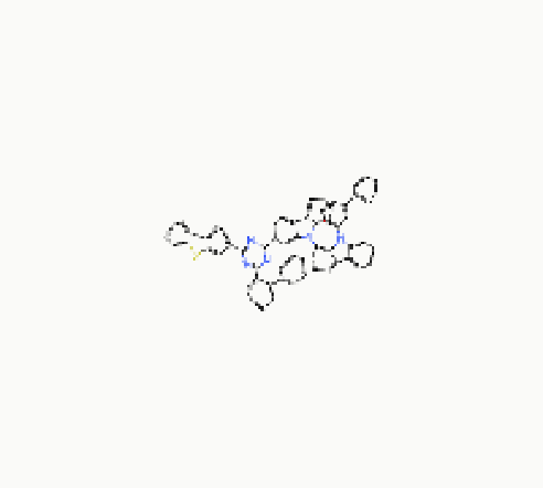 c1ccc(-c2cccc(-n3c4ccccc4c4cccc(-n5c6ccccc6c6ccc(-c7nc(-c8ccc9c(c8)sc8ccccc89)nc(-c8ccccc8-c8ccccc8)n7)cc65)c43)c2)cc1